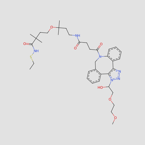 CCSNC(=O)C(C)(C)CCOC(C)(C)CCNC(=O)CCC(=O)N1Cc2ccccc2-c2c(nnn2C(O)COCCOC)-c2ccccc21